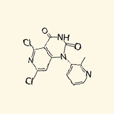 Cc1ncccc1-n1c(=O)[nH]c(=O)c2c(Cl)nc(Cl)cc21